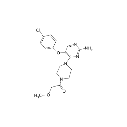 COCC(=O)N1CCN(c2nc(N)ncc2Oc2ccc(Cl)cc2)CC1